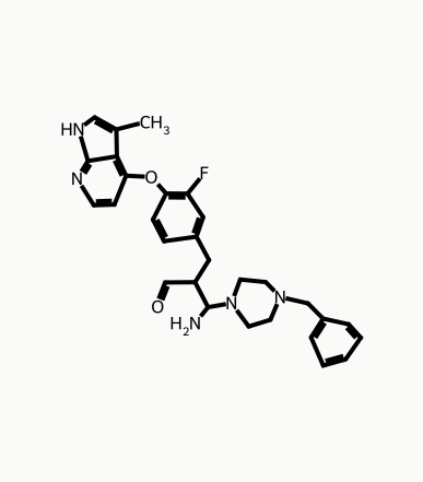 Cc1c[nH]c2nccc(Oc3ccc(CC(C=O)C(N)N4CCN(Cc5ccccc5)CC4)cc3F)c12